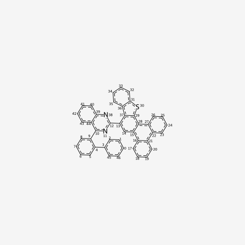 c1ccc(-c2ccccc2-c2nc(-c3cc4c5ccccc5c5ccccc5c4c4sc5ccccc5c34)nc3ccccc23)cc1